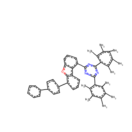 Bc1c(B)c(B)c(-c2nc(-c3c(B)c(B)c(B)c(B)c3B)nc(-c3cccc4oc5c(-c6ccc(-c7ccccc7)cc6)cccc5c34)n2)c(B)c1B